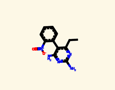 CCc1nc(N)nc(N)c1-c1ccccc1[N+](=O)[O-]